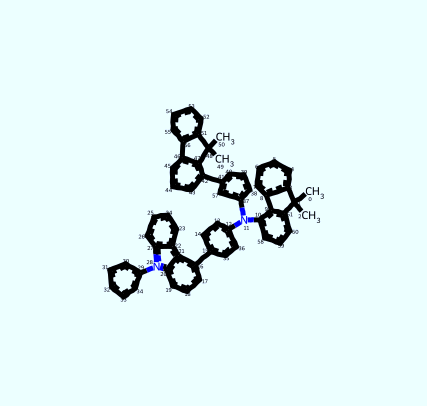 CC1(C)c2ccccc2-c2c(N(c3ccc(-c4cccc5c4c4ccccc4n5-c4ccccc4)cc3)c3cccc(-c4cccc5c4C(C)(C)c4ccccc4-5)c3)cccc21